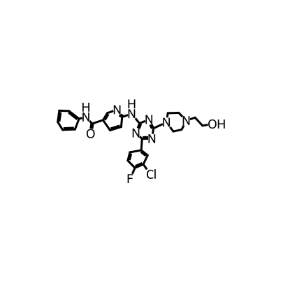 O=C(Nc1ccccc1)c1ccc(Nc2nc(-c3ccc(F)c(Cl)c3)nc(N3CCN(CCO)CC3)n2)nc1